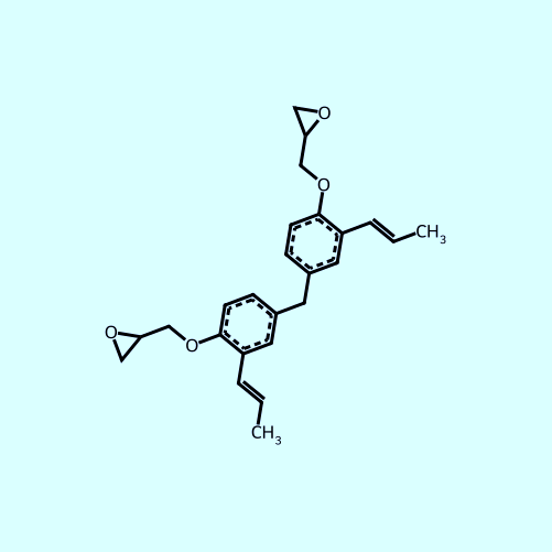 CC=Cc1cc(Cc2ccc(OCC3CO3)c(C=CC)c2)ccc1OCC1CO1